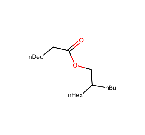 CCCCCCCCCCCC(=O)OCC(CCCC)CCCCCC